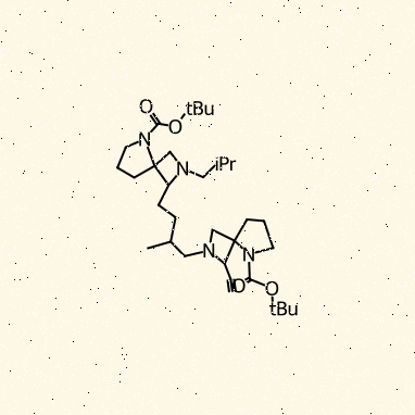 C#CC1N(CC(C)CCC2N(CC(C)C)CC23CCCN3C(=O)OC(C)(C)C)CC12CCCN2C(=O)OC(C)(C)C